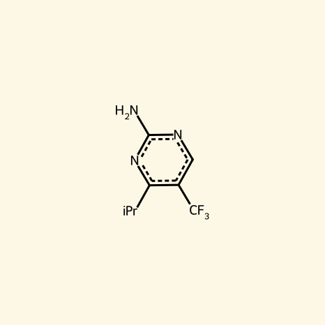 CC(C)c1nc(N)ncc1C(F)(F)F